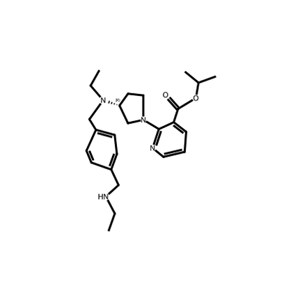 CCNCc1ccc(CN(CC)[C@@H]2CCN(c3ncccc3C(=O)OC(C)C)C2)cc1